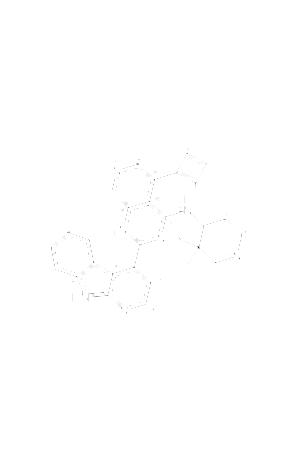 CC1(C)CNCCC1Nc1nc(-c2ccnc3[nH]c4ccccc4c23)nc2cncc(C3=CC=C3)c12